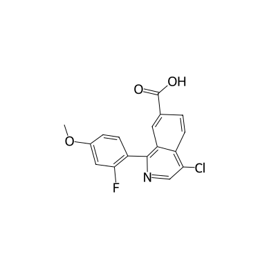 COc1ccc(-c2ncc(Cl)c3ccc(C(=O)O)cc23)c(F)c1